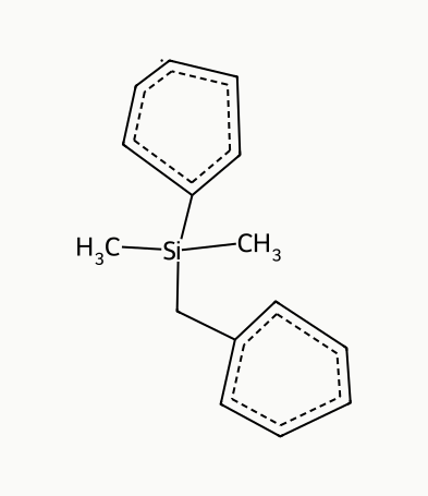 C[Si](C)(Cc1ccccc1)c1cc[c]cc1